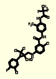 CC(F)(F)C(=O)Nc1ccc(NC(=O)c2cc(NCC3(C=O)C(c4ccc(F)c(Cl)c4)C3(Cl)Cl)ccc2Cl)cc1C(F)(F)F